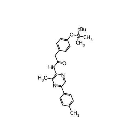 Cc1ccc(-c2cnc(NC(=O)Cc3ccc(O[Si](C)(C)C(C)(C)C)cc3)c(C)n2)cc1